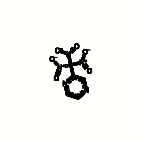 O=[N+]([O-])C(c1cnccn1)([N+](=O)[O-])[N+](=O)[O-]